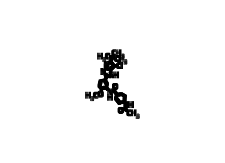 COc1ccc(-c2nn3nc(C(C)(C)C)c(Cl)c3[nH]2)cc1NC(=O)c1ccc(NC(C)=O)cc1